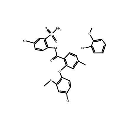 COc1cc(Cl)ccc1Oc1cc(Cl)ccc1C(=O)Nc1ccc(Cl)cc1S(N)(=O)=O.COc1ccccc1O